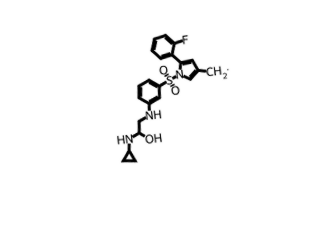 [CH2]c1cc(-c2ccccc2F)n(S(=O)(=O)c2cccc(NCC(O)NC3CC3)c2)c1